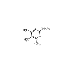 [CH2]C(=O)Nc1cc(C)c(C)c(C)c1